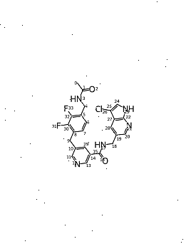 CC(=O)NCc1ccc(Cc2cncc(C(=O)NCc3cnc4[nH]cc(Cl)c4c3)c2)c(F)c1F